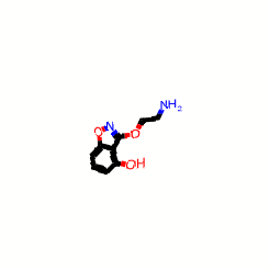 NCCOc1noc2cccc(O)c12